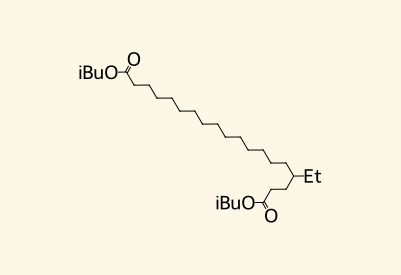 CCC(CCCCCCCCCCCCCCC(=O)OCC(C)C)CCC(=O)OCC(C)C